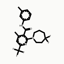 Cc1cccc(NC(=O)c2c(C)cc(C(F)(F)F)nc2N2CCCC(F)(F)CC2)c1